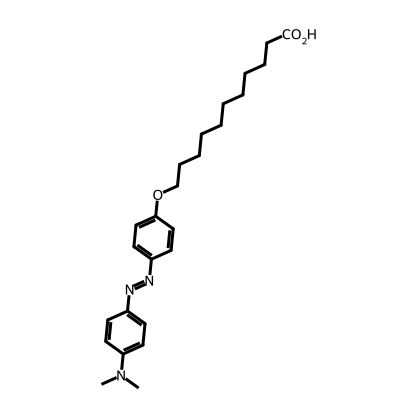 CN(C)c1ccc(N=Nc2ccc(OCCCCCCCCCCC(=O)O)cc2)cc1